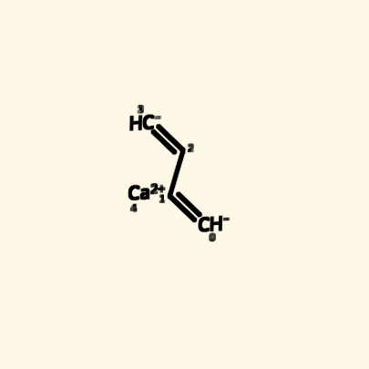 [CH-]=CC=[CH-].[Ca+2]